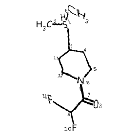 C[SH](C)C1CCN(C(=O)C(F)F)CC1